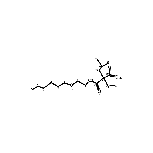 CCCCCCOCCOC(=O)C(CC)(CC(C)C)C(C)=O